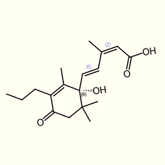 CCCC1=C(C)[C@@](O)(/C=C/C(C)=C\C(=O)O)C(C)(C)CC1=O